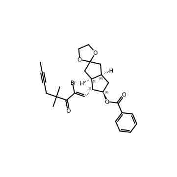 CC#CCC(C)(C)C(=O)C(Br)=C[C@@H]1[C@H]2CC3(C[C@H]2C[C@H]1OC(=O)c1ccccc1)OCCO3